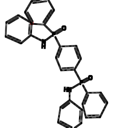 O=P(Nc1ccccc1)(c1ccccc1)c1ccc(P(=O)(Nc2ccccc2)c2ccccc2)cc1